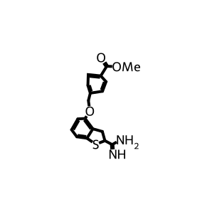 COC(=O)c1ccc(COc2cccc3c2CC(C(=N)N)S3)cc1